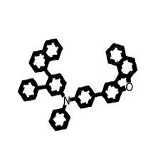 c1ccc(-c2cc(N(c3ccccc3)c3ccc(-c4ccc5oc6ccc7ccccc7c6c5c4)cc3)ccc2-c2cccc3ccccc23)cc1